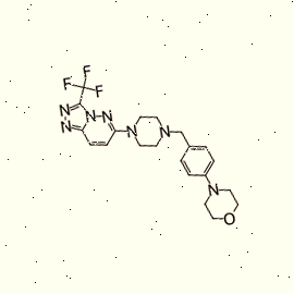 FC(F)(F)c1nnc2ccc(N3CCN(Cc4ccc(N5CCOCC5)cc4)CC3)nn12